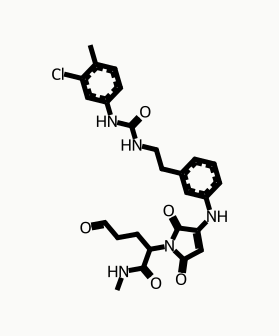 CNC(=O)C(CCC=O)N1C(=O)C=C(Nc2cccc(CCNC(=O)Nc3ccc(C)c(Cl)c3)c2)C1=O